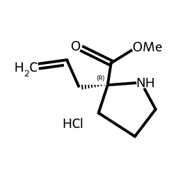 C=CC[C@@]1(C(=O)OC)CCCN1.Cl